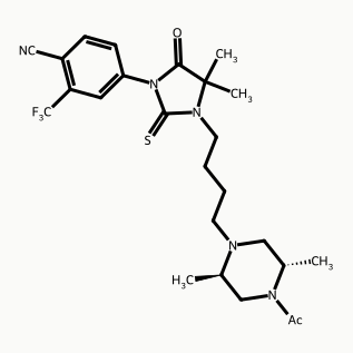 CC(=O)N1C[C@@H](C)N(CCCCN2C(=S)N(c3ccc(C#N)c(C(F)(F)F)c3)C(=O)C2(C)C)C[C@@H]1C